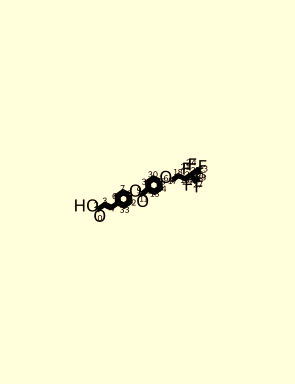 O=C(O)C=Cc1ccc(OC(=O)c2ccc(OCCCC(F)(C(F)(F)F)C(F)(F)F)cc2)cc1